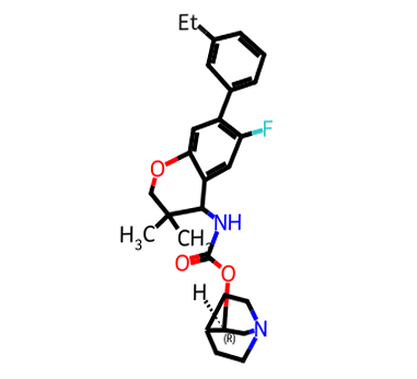 CCc1cccc(-c2cc3c(cc2F)C(NC(=O)O[C@H]2CN4CCC2CC4)C(C)(C)CO3)c1